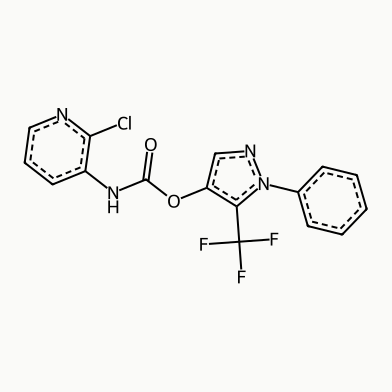 O=C(Nc1cccnc1Cl)Oc1cnn(-c2ccccc2)c1C(F)(F)F